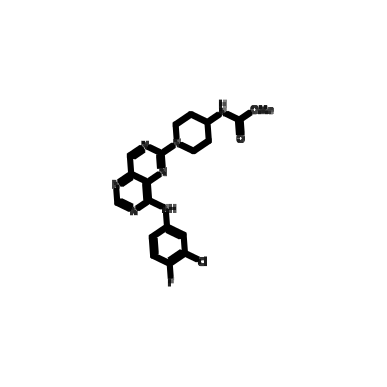 COC(=O)NC1CCN(c2ncc3ncnc(Nc4ccc(F)c(Cl)c4)c3n2)CC1